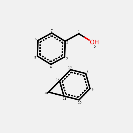 OCc1ccccc1.c1ccc2c(c1)C2